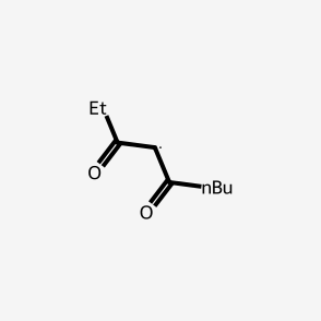 CCCCC(=O)[CH]C(=O)CC